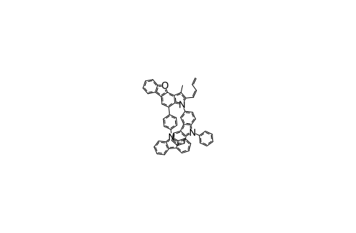 C=C/C=C\c1c(C)c2c3oc4ccccc4c3cc(-c3ccc(-n4c5ccccc5c5ccccc54)cc3)c2n1-c1ccc2c(c1)c1ccccc1n2-c1ccccc1